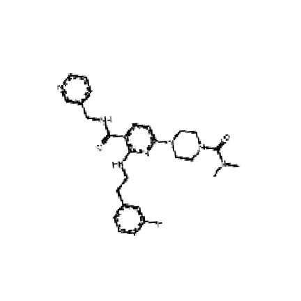 CN(C)C(=O)N1CCN(c2ccc(C(=O)NCc3cccnc3)c(NCCc3cccc(F)c3)n2)CC1